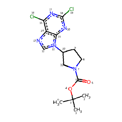 CC(C)(C)OC(=O)N1CCC(n2cnc3c(Cl)nc(Cl)nc32)C1